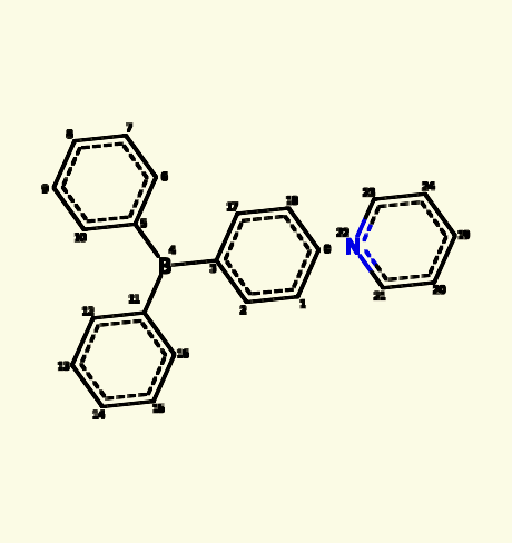 c1ccc(B(c2ccccc2)c2ccccc2)cc1.c1ccncc1